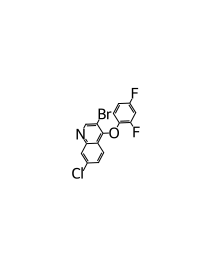 Fc1ccc(Oc2c(Br)cnc3cc(Cl)ccc23)c(F)c1